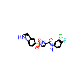 O=C(Nc1ccc(F)c(Cl)c1)c1ccn(S(=O)(=O)c2ccc3[nH]ccc3c2)n1